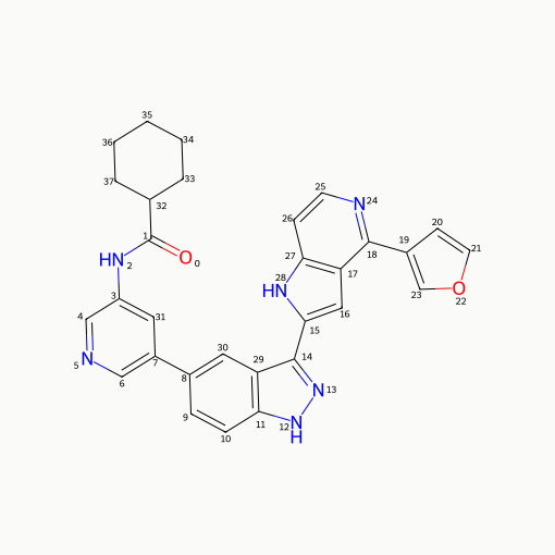 O=C(Nc1cncc(-c2ccc3[nH]nc(-c4cc5c(-c6ccoc6)nccc5[nH]4)c3c2)c1)C1CCCCC1